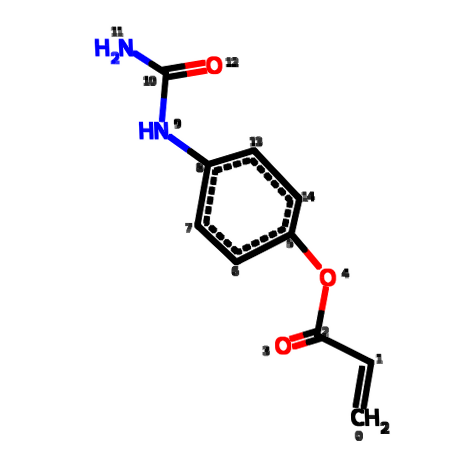 C=CC(=O)Oc1ccc(NC(N)=O)cc1